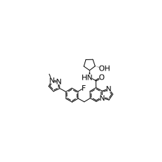 Cn1ccc(-c2ccc(Cc3cc(C(=O)N[C@H]4CCC[C@@H]4O)c4nccn4c3)c(F)c2)n1